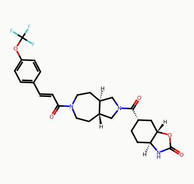 O=C1N[C@H]2CC[C@H](C(=O)N3C[C@@H]4CCN(C(=O)/C=C/c5ccc(OC(F)(F)F)cc5)CC[C@H]4C3)C[C@@H]2O1